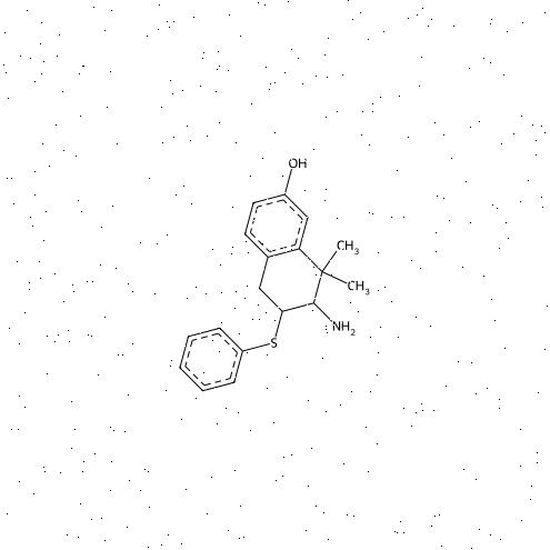 CC1(C)c2cc(O)ccc2CC(Sc2ccccc2)C1N